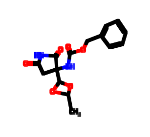 CC1OC(C2(NC(=O)OCc3ccccc3)CC(=O)NC2=O)O1